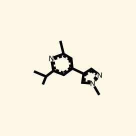 Cc1cc(-c2cnn(C)c2)cc(C(C)C)n1